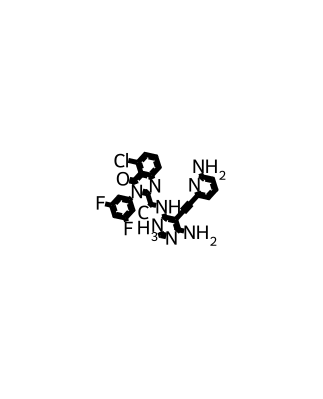 CC(Nc1ncnc(N)c1C#Cc1cccc(N)n1)c1nc2cccc(Cl)c2c(=O)n1-c1cc(F)cc(F)c1